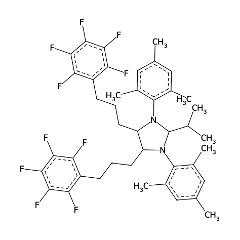 Cc1cc(C)c(N2C(CCCc3c(F)c(F)c(F)c(F)c3F)C(CCCc3c(F)c(F)c(F)c(F)c3F)N(c3c(C)cc(C)cc3C)C2C(C)C)c(C)c1